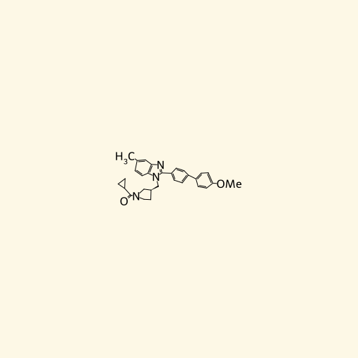 COc1ccc(-c2ccc(-c3nc4cc(C)ccc4n3C[C@H]3CCN(C(=O)C4CC4)C3)cc2)cc1